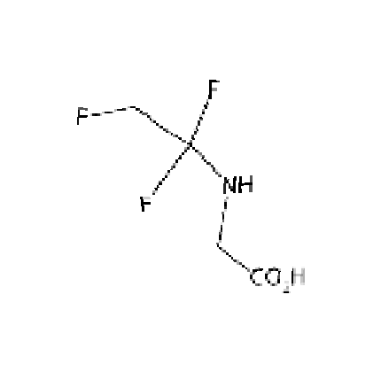 O=C(O)CNC(F)(F)CF